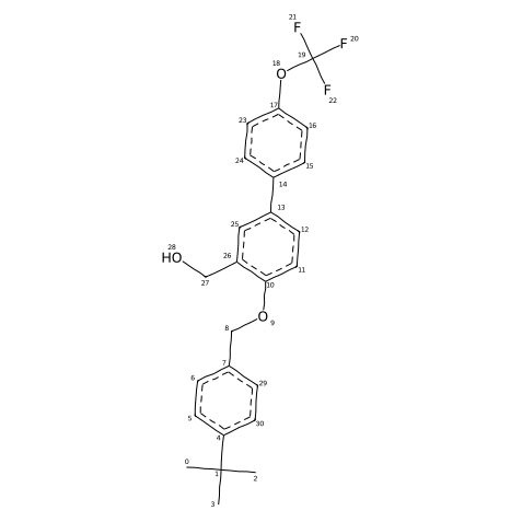 CC(C)(C)c1ccc(COc2ccc(-c3ccc(OC(F)(F)F)cc3)cc2CO)cc1